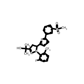 CC(C)(O)C1=NN(c2c(F)cccc2C(F)(F)F)C(c2ccc(-c3cccc(S(C)(=O)=O)c3)s2)C1